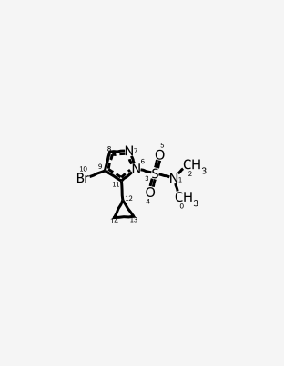 CN(C)S(=O)(=O)n1ncc(Br)c1C1CC1